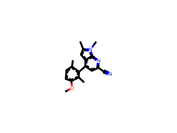 COc1ccc(C)c(-c2cc(C#N)nc3c2cc(C)n3C)c1C